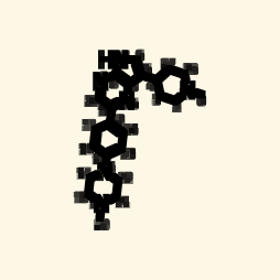 CN1CCC(c2c[nH]c3ncc(-c4ccc(N5CCN(C)CC5)cc4)nc23)CC1